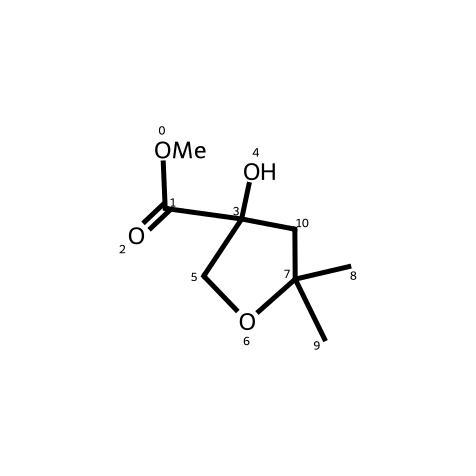 COC(=O)C1(O)COC(C)(C)C1